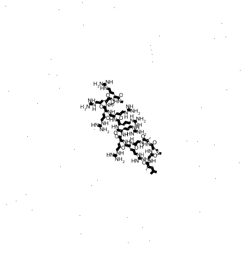 CNC(=O)[C@@H](CCCNC(=N)N)NC(=O)[C@@H](CCCNC(=N)N)NC(=O)[C@@H](CCCNC(=N)N)NC(=O)[C@@H](CCCNC(=N)N)NC(=O)[C@@H](CCCNC(=N)N)NC(=O)[C@@H](CCCNC(=N)N)NC(=O)[C@@H](CCCNC(=N)N)NC(=O)[C@@H](CCCNC(=N)N)NC(=O)CNC(=O)[C@H](C)NC(=O)[C@H](CSC)NC(=O)CNC(=O)[C@@H](C)CC(C)C